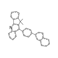 CC1(C)c2ccccc2-c2nc3ccccc3c(-c3ccc(-c4ccc5ccccc5c4)cc3)c21